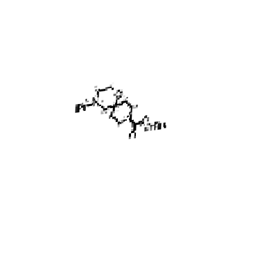 CC(C)N1CCOC2(CCN(C(=O)OC(C)(C)C)CC2)C1